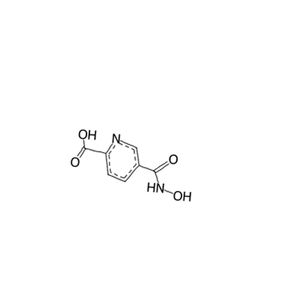 O=C(NO)c1ccc(C(=O)O)nc1